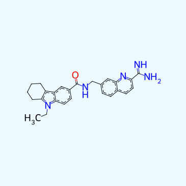 CCn1c2c(c3cc(C(=O)NCc4ccc5ccc(C(=N)N)nc5c4)ccc31)CCCC2